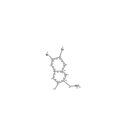 Cc1cc2cc(Br)c(Br)cc2cc1CN